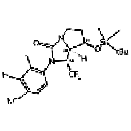 Cc1c(N2C(=O)N3CC[C@@H](O[Si](C)(C)C(C)(C)C)[C@H]3[C@H]2C(F)(F)F)ccc(C#N)c1F